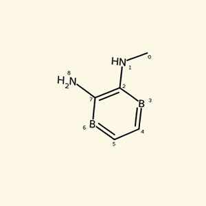 CNc1bccbc1N